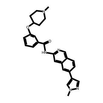 CN1CCC(Oc2cccc(C(=O)Nc3cc4cc(-c5cnn(C)c5)ccc4cn3)c2)CC1